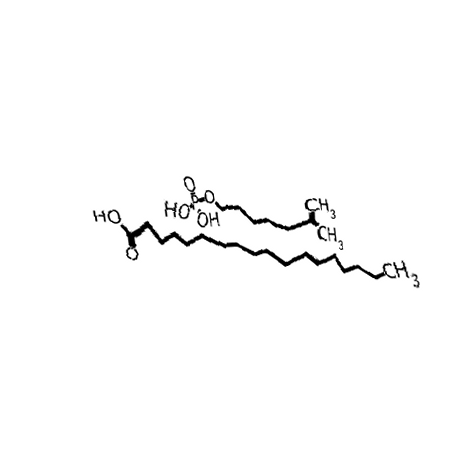 CC(C)CCCCCOP(=O)(O)O.CCCCCCCCCCCCCCCCCC(=O)O